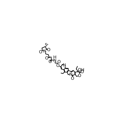 CCc1c2c(cc3ncc(OC(=O)CNC(=O)CC(=O)CCN4C(=O)CC(SC)C4=O)cc13)-c1cc3c(c(=O)n1C2)COC(=O)[C@]3(O)CC